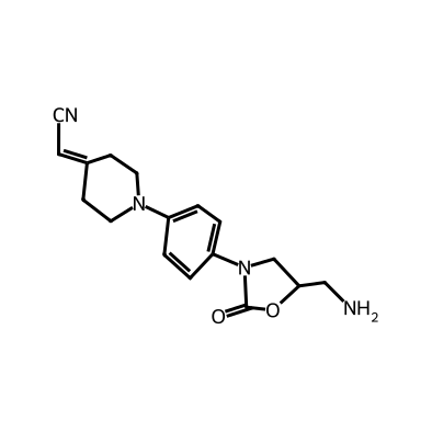 N#CC=C1CCN(c2ccc(N3CC(CN)OC3=O)cc2)CC1